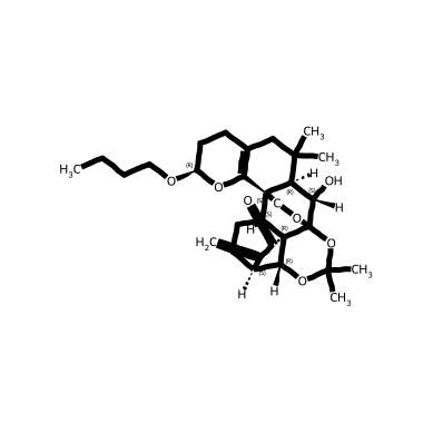 C=C1C(=O)[C@@]23[C@@H]4OC(C)(C)OC25OC[C@]2(C6=C(CC[C@H](OCCCC)O6)CC(C)(C)[C@H]2[C@@H]5O)[C@@H]3CC[C@@H]14